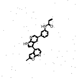 C=CC(=O)Nc1cccc(-c2cnc3[nH]cc(-c4ccnc5oc(C)cc45)c3c2)c1